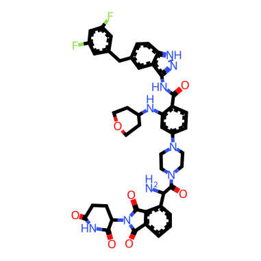 NC(C(=O)N1CCN(c2ccc(C(=O)Nc3n[nH]c4ccc(Cc5cc(F)cc(F)c5)cc34)c(NC3CCOCC3)c2)CC1)c1cccc2c1C(=O)N(C1CCC(=O)NC1=O)C2=O